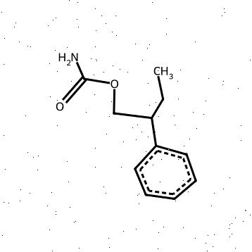 CCC(COC(N)=O)c1ccccc1